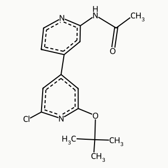 CC(=O)Nc1cc(-c2cc(Cl)nc(OC(C)(C)C)c2)ccn1